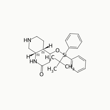 CC(C)(C)[Si](OC1CC(=O)N[C@@H]2CNCC[C@H]12)(c1ccccc1)c1ccccc1